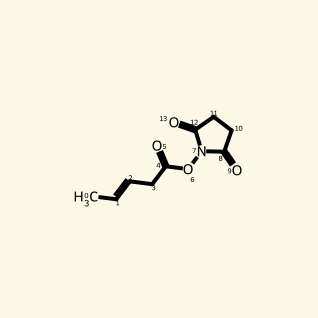 CC=CCC(=O)ON1C(=O)CCC1=O